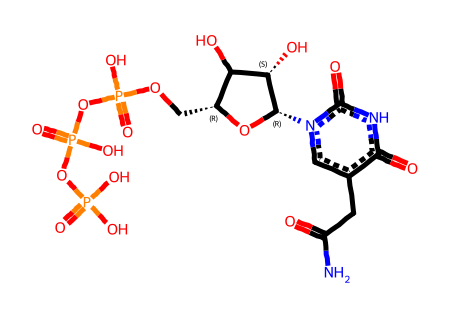 NC(=O)Cc1cn([C@@H]2O[C@H](COP(=O)(O)OP(=O)(O)OP(=O)(O)O)C(O)[C@@H]2O)c(=O)[nH]c1=O